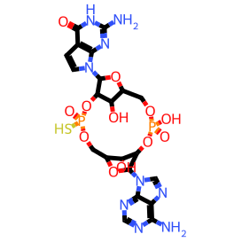 Nc1nc2c(ccn2C2OC3COP(=O)(O)OC4C(O)C(COP(=O)(S)OC2C3O)OC4n2cnc3c(N)ncnc32)c(=O)[nH]1